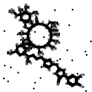 CC[C@H]1OC(=O)[C@H](C)[C@@H](O[C@H]2C[C@@](C)(OC)[C@@H](O)[C@H](C)O2)[C@H](C)[C@@H](O[C@@H]2O[C@H](C)C[C@H](N(C)CCCc3cn(C[C@H]4CN(c5ccc(F)c(F)c5)C(=O)O4)nn3)[C@H]2O)[C@](C)(O)C[C@@H](C)CN(C)[C@H](C)[C@@H](O)[C@]1(C)O